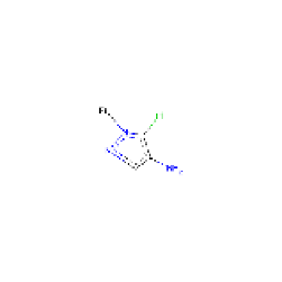 CCn1ncc(N)c1Cl